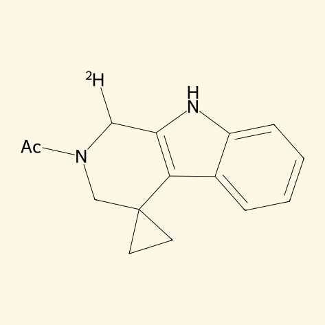 [2H]C1c2[nH]c3ccccc3c2C2(CC2)CN1C(C)=O